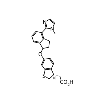 Cn1ccnc1-c1cccc2c1CCC2Oc1ccc2c(c1)SC[C@H]2CC(=O)O